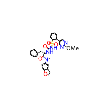 COc1ncc(-c2ccccc2S(=O)(=O)NC(=O)N[C@@H](Cc2ccccc2)C(=O)N(C)c2ccc3c(c2)CCO3)cn1